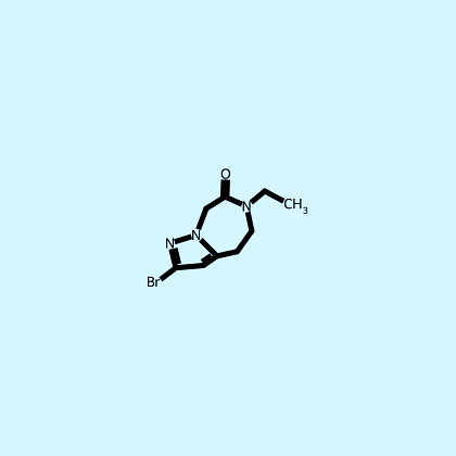 CCN1CCc2cc(Br)nn2CC1=O